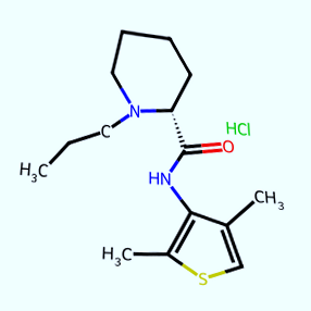 CCCN1CCCC[C@@H]1C(=O)Nc1c(C)csc1C.Cl